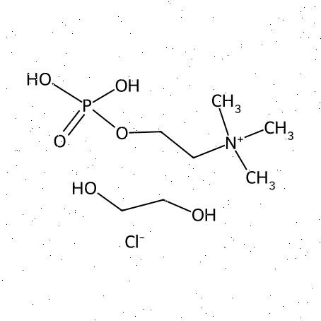 C[N+](C)(C)CCOP(=O)(O)O.OCCO.[Cl-]